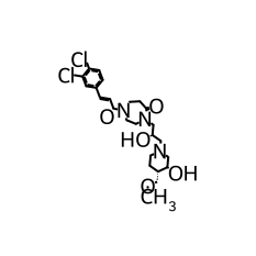 COC[C@@H]1CCN(C[C@H](O)CN2CCN(C(=O)/C=C/c3ccc(Cl)c(Cl)c3)CCC2=O)C[C@@H]1O